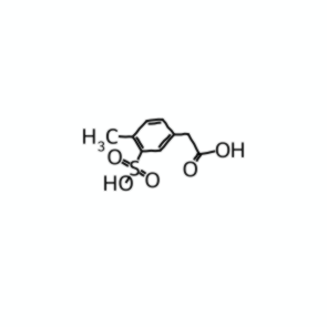 Cc1ccc(CC(=O)O)cc1S(=O)(=O)O